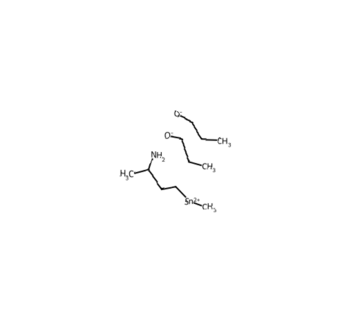 CCC[O-].CCC[O-].[CH3][Sn+2][CH2]CC(C)N